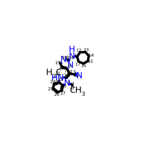 CCN1/C(=C(\C#N)c2nc(NC3CCCCCC3)ncc2C)Nc2ccccc21